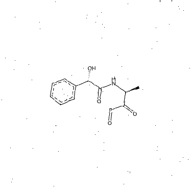 C[C@H](NC(=O)[C@@H](O)c1ccccc1)C(=O)P=O